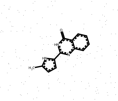 Cc1ccc(-c2nc3ccccc3c(=O)[nH]2)[nH]1